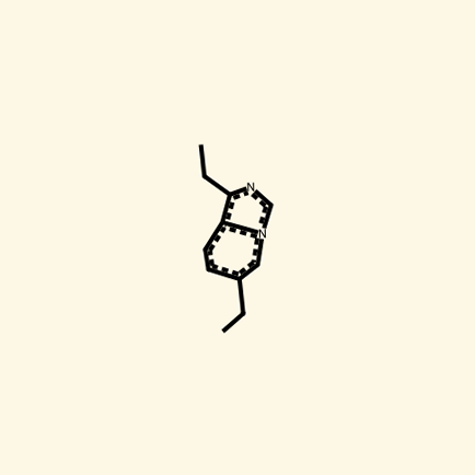 CCc1ccc2c(CC)ncn2c1